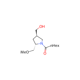 CCCCCCC(=O)N1C[C@H](CO)C[C@H]1COC